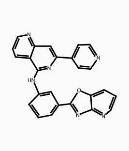 c1cc(Nc2nc(-c3ccncc3)cc3ncccc23)cc(-c2nc3ncccc3o2)c1